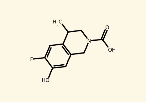 CC1CN(C(=O)O)Cc2cc(O)c(F)cc21